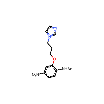 CC(=O)Nc1ccc([N+](=O)[O-])cc1OCCCn1ccnc1